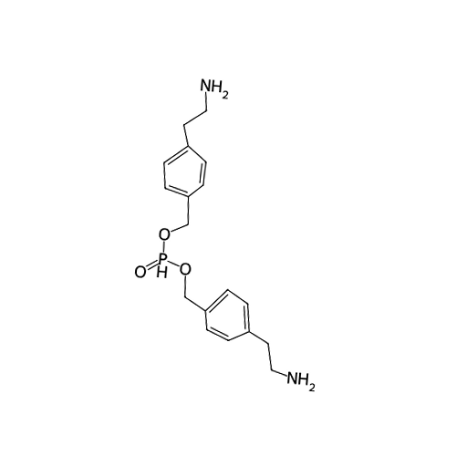 NCCc1ccc(CO[PH](=O)OCc2ccc(CCN)cc2)cc1